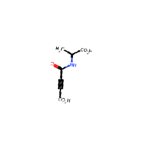 CC(NC(=O)C#CC(=O)O)C(=O)O